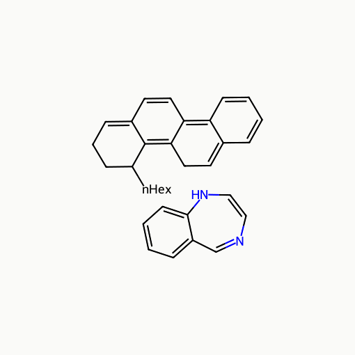 C1=CNc2ccccc2C=N1.CCCCCCC1CCC=c2ccc3c(c21)CC=c1ccccc1=3